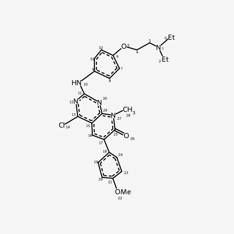 CCN(CC)CCOc1ccc(Nc2nc(Cl)c3cc(-c4ccc(OC)cc4)c(=O)n(C)c3n2)cc1